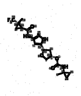 CC1(NC(=O)O[C@@H]2CO[C@H](c3cc(NC(=O)[C@H]4C[C@]4(C)C(F)(F)F)n[nH]3)C2)CC1